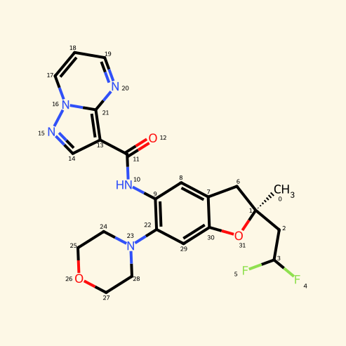 C[C@@]1(CC(F)F)Cc2cc(NC(=O)c3cnn4cccnc34)c(N3CCOCC3)cc2O1